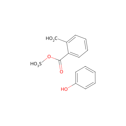 O=C(O)c1ccccc1C(=O)OS(=O)(=O)O.Oc1ccccc1